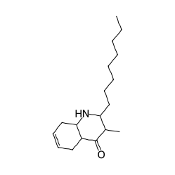 CCCCCCCCC1NC2CC=CCC2C(=O)C1C